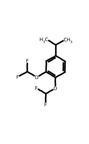 CC(C)c1ccc(OC(F)F)c(OC(F)F)c1